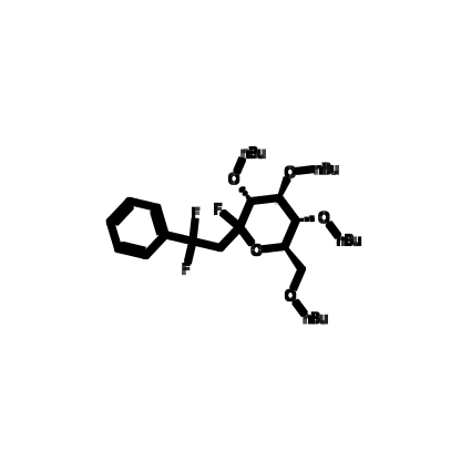 CCCCOC[C@H]1OC(F)(CC(F)(F)c2ccccc2)[C@H](OCCCC)[C@@H](OCCCC)[C@@H]1OCCCC